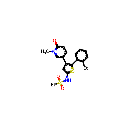 CCc1ccccc1-c1sc(NS(=O)(=O)CC)cc1-c1ccc(=O)n(C)c1